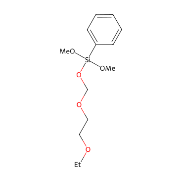 CCOCCOCO[Si](OC)(OC)c1ccccc1